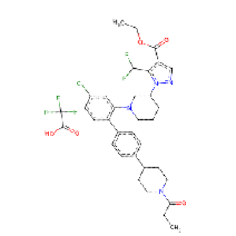 CCOC(=O)c1cnn(C2CCCN(c3cc(Cl)ccc3-c3ccc(C4CCN(C(=O)CC)CC4)cc3)C2)c1C(F)F.O=C(O)C(F)(F)F